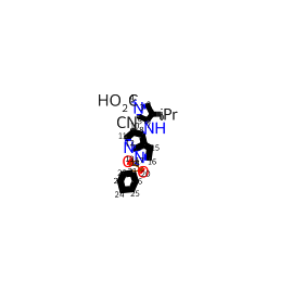 CC(C)C1CN(C(=O)O)CC1Nc1c(C#N)cnc2c1ccn2S(=O)(=O)c1ccccc1